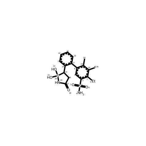 CCc1c(S(N)(=O)=O)cc(-c2ccccc2C2CC(=O)NS2(O)O)c(C)c1F